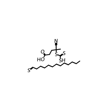 CC(C#N)(CCC(=O)O)SC(=S)S.CCCCCCCCCCCCC=S